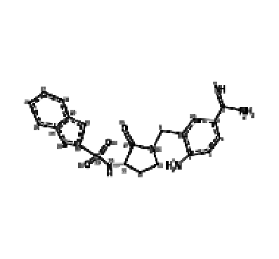 N=C(N)c1ccc(N)c(CN2CC[C@H](NS(=O)(=O)c3cc4ccccc4s3)C2=O)c1